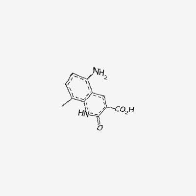 Cc1ccc(N)c2cc(C(=O)O)c(=O)[nH]c12